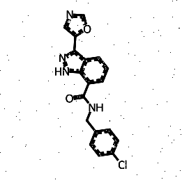 O=C(NCc1ccc(Cl)cc1)c1cccc2c(-c3cnco3)n[nH]c12